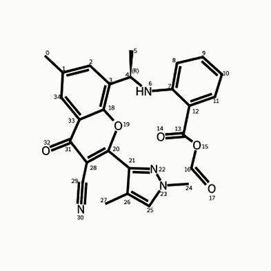 Cc1cc([C@@H](C)Nc2ccccc2C(=O)OC=O)c2oc(-c3nn(C)cc3C)c(C#N)c(=O)c2c1